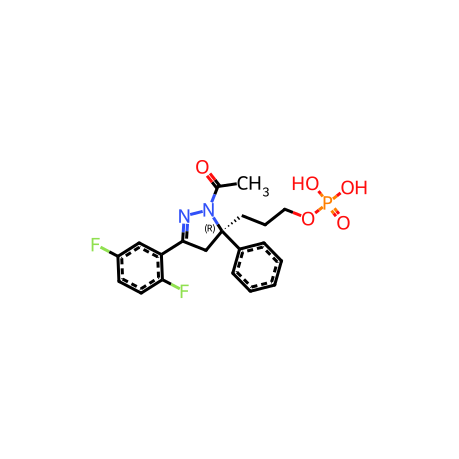 CC(=O)N1N=C(c2cc(F)ccc2F)C[C@]1(CCCOP(=O)(O)O)c1ccccc1